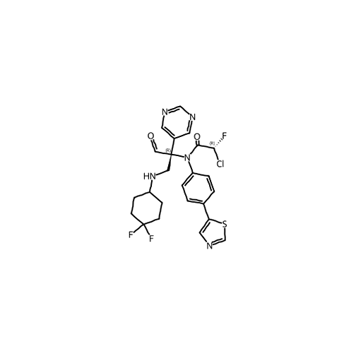 O=C[C@](CNC1CCC(F)(F)CC1)(c1cncnc1)N(C(=O)[C@H](F)Cl)c1ccc(-c2cncs2)cc1